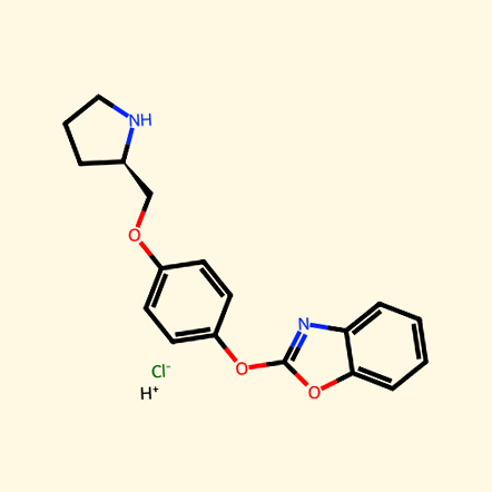 [Cl-].[H+].c1ccc2oc(Oc3ccc(OC[C@H]4CCCN4)cc3)nc2c1